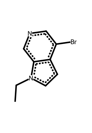 CCn1ccc2c(Br)cncc21